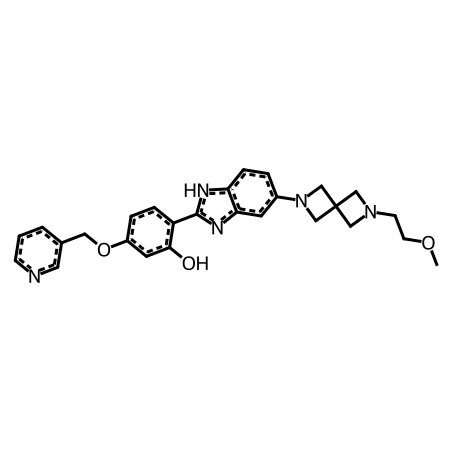 COCCN1CC2(C1)CN(c1ccc3[nH]c(-c4ccc(OCc5cccnc5)cc4O)nc3c1)C2